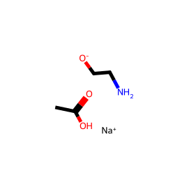 CC(=O)O.NCC[O-].[Na+]